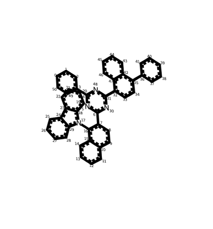 c1ccc(-c2nc(-c3ccc4ccccc4c3-n3c4ccccc4c4ccccc43)nc(-c3ccc(-c4ccccc4)c4ccccc34)n2)cc1